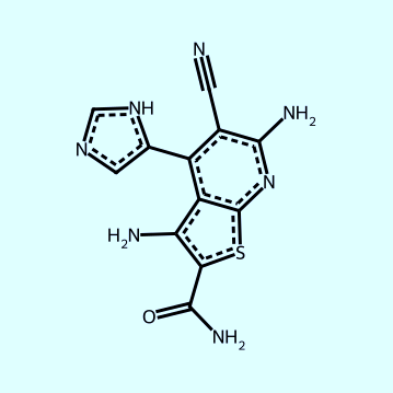 N#Cc1c(N)nc2sc(C(N)=O)c(N)c2c1-c1cnc[nH]1